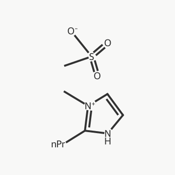 CCCc1[nH]cc[n+]1C.CS(=O)(=O)[O-]